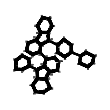 c1ccc(-c2ccc(-n3c4ccccc4c4cccc(-c5cncc6c7ccccc7n(-c7ccccc7)c56)c43)cc2)cc1